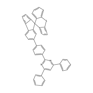 c1ccc(-c2cc(-c3ccccc3)nc(-c3ccc(-c4ccc5c(c4)C4(c6ccccc6Sc6ccccc64)c4ccccc4-5)cc3)n2)cc1